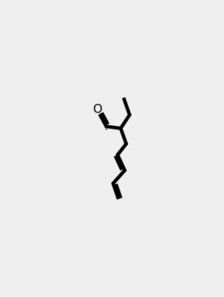 C=CC=CCC([C]=O)CC